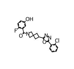 O=C(c1cc(O)ccc1F)N1CC2(CC(c3nnc(-c4ccccc4Cl)o3)C2)C1